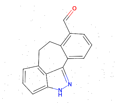 O=Cc1cccc2c1CCc1cccc3[nH]nc-2c13